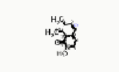 C=C/C=C\c1ccn(O)c(=O)c1C=C